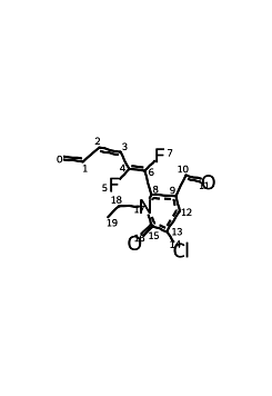 C=C/C=C\C(F)=C(/F)c1c(C=O)cc(Cl)c(=O)n1CC